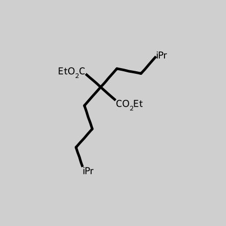 CCOC(=O)C(CCCC(C)C)(CCC(C)C)C(=O)OCC